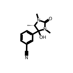 C[C@@H]1N(C)C(=O)N(C)C1(O)c1cccc(C#N)c1